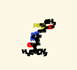 CC(C)C(=O)Cc1cn(CCC(=O)[SH](C)S)nn1